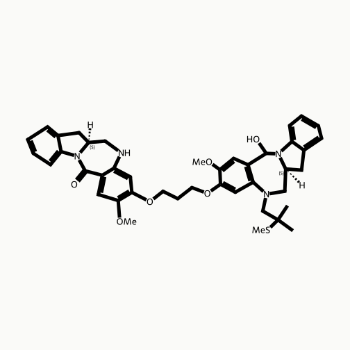 COc1cc2c(cc1OCCCOc1cc3c(cc1OC)C(O)N1c4ccccc4C[C@H]1CN3CC(C)(C)SC)NC[C@@H]1Cc3ccccc3N1C2=O